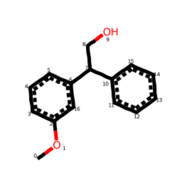 COc1cccc(C(CO)c2ccccc2)c1